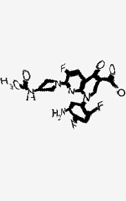 CC(=O)NC1CN(c2nc3c(cc2F)c(=O)c(C(=O)O)cn3-c2cc(N)c(F)cc2F)C1